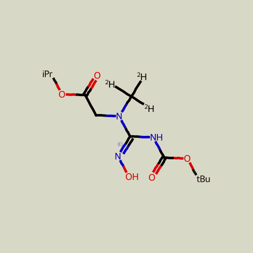 [2H]C([2H])([2H])N(CC(=O)OC(C)C)/C(=N/O)NC(=O)OC(C)(C)C